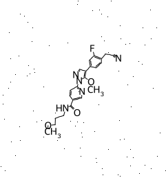 COCCCNC(=O)c1ccc(-n2ncc(-c3ccc(CC#N)c(F)c3)c2OC)nc1